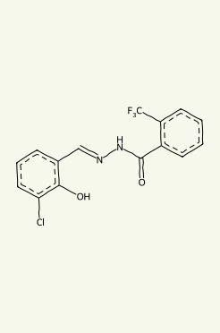 O=C(N/N=C/c1cccc(Cl)c1O)c1ccccc1C(F)(F)F